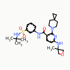 CC(C)(C)NS(=O)(=O)c1cccc(NC(=O)c2ccc(NC3(C)COC3)nc2N2CCC3(CC2)CC3)c1